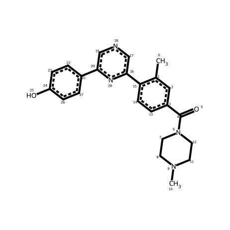 Cc1cc(C(=O)N2CCN(C)CC2)ccc1-c1cncc(-c2ccc(O)cc2)n1